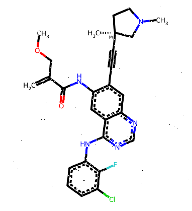 C=C(COC)C(=O)Nc1cc2c(Nc3cccc(Cl)c3F)ncnc2cc1C#C[C@@]1(C)CCN(C)C1